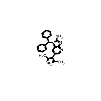 Cc1noc(C)c1-c1cnc2nc(N)n(C(c3ccccc3)c3ccccc3)c2c1